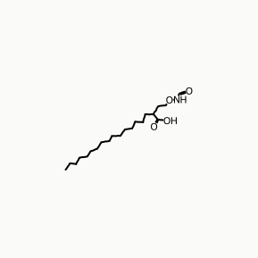 CCCCCCCCCCCCCCCCC(CCONC=O)C(=O)O